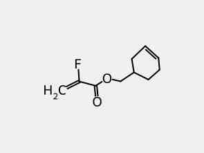 C=C(F)C(=O)OCC1CC=CCC1